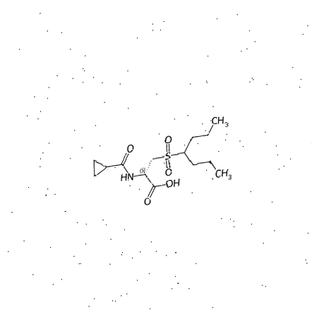 CCCC(CCC)S(=O)(=O)C[C@@H](NC(=O)C1CC1)C(=O)O